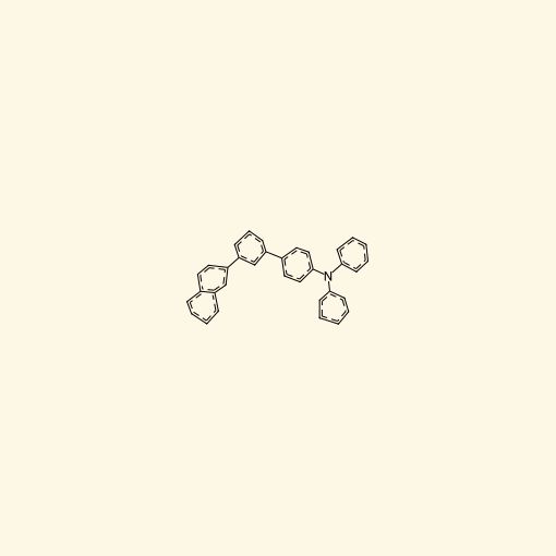 c1ccc(N(c2ccccc2)c2ccc(-c3cccc(-c4ccc5ccccc5c4)c3)cc2)cc1